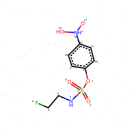 O=S(=O)(NCCF)Oc1ccc([NH+]([O-])O)cc1